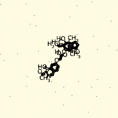 C=C[C@]1(C)C[C@@H](OC(=O)COc2ccc3c(c2)B(O)N(C(C)=O)N=C3)[C@]2(C)[C@H](C)CC[C@]3(CCC(=O)[C@H]32)[C@@H](C)[C@@H]1O